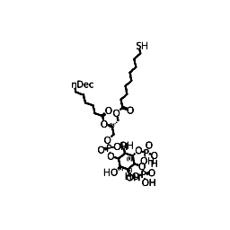 CCCCCCCCCCCCCCCC(=O)O[C@H](COC(=O)CCCCCCCCS)COP(=O)(O)OC1C(O)[C@@H](OP(=O)(O)O)C(OP(=O)(O)O)[C@@H](O)[C@H]1O